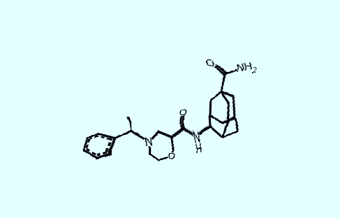 C[C@H](c1ccccc1)N1CCOC(C(=O)NC2C3CC4CC2CC(C(N)=O)(C4)C3)C1